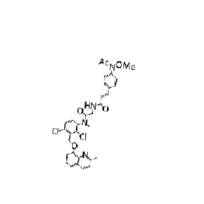 CON(C(C)=O)c1ccc(C=CC(=O)NCC(=O)N(C)c2ccc(Cl)c(COc3cccc4ccc(C)nc34)c2Cl)cc1